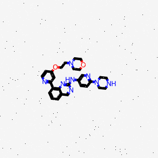 c1cc(-c2cc(OCCN3CCOCC3)ccn2)c2nc(Nc3ccc(N4CCNCC4)nc3)ncc2c1